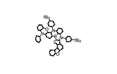 CC(C)(C)c1ccc(N2c3cccc4c3B(c3ccc5c(c32)Oc2ccccc2N5c2ccccc2)c2sc3c(ccc5oc6ccccc6c53)c2N4c2ccc(C(C)(C)C)cc2)cc1